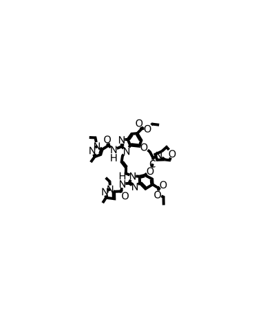 CCOC(=O)c1cc2c3c(c1)nc(NC(=O)c1cc(C)nn1CC)n3C/C=C/Cn1c(NC(=O)c3cc(C)nn3CC)nc3cc(C(=O)OCC)cc(c31)OCC(N1C3CCC1COC3)CO2